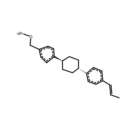 CC=Cc1ccc([C@H]2CC[C@H](c3ccc(COCCC)cc3)CC2)cc1